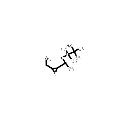 CCC1OC1C(C)O[Si](C)(C)C(C)(C)C